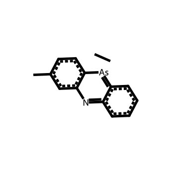 CC.Cc1ccc2c(c1)N=c1ccccc1=[As]2